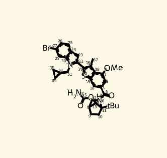 COc1cc(C(=O)N2CC3CCC2(C(C)(C)C)[C@@H]3OC(N)=O)cc2sc(-c3cc4ccc(Br)cc4n3CC3CC3)c(C)c12